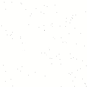 O=C(O)c1ccccc1-c1ccc(Nc2nc(C(F)(F)C(F)(F)F)nc3ccccc23)cc1